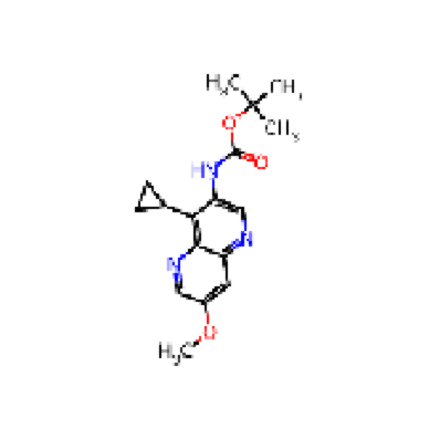 COc1cnc2c(C3CC3)c(NC(=O)OC(C)(C)C)cnc2c1